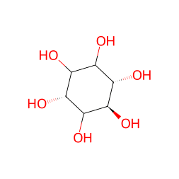 OC1C(O)[C@H](O)[C@@H](O)C(O)[C@@H]1O